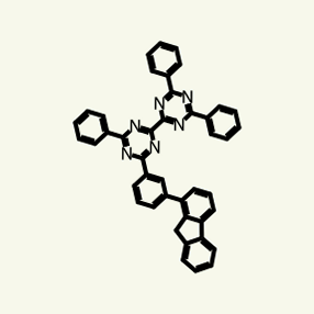 c1ccc(-c2nc(-c3ccccc3)nc(-c3nc(-c4ccccc4)nc(-c4cccc(-c5cccc6c5Cc5ccccc5-6)c4)n3)n2)cc1